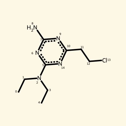 CCN(CC)c1nc(N)nc(CCCl)n1